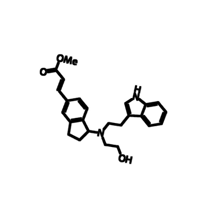 COC(=O)C=Cc1ccc2c(c1)CCC2N(CCO)CCc1c[nH]c2ccccc12